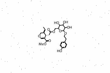 C/C=C1\COC=C(C(=O)OC)[C@H]1CC(=O)OCC1OC(OCCc2ccc(O)cc2)C(O)C(O)C1O